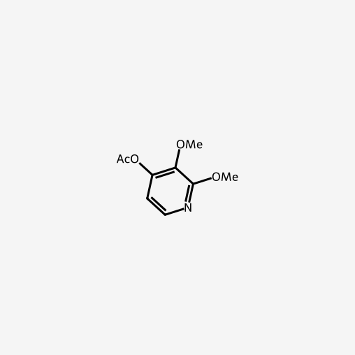 COc1nccc(OC(C)=O)c1OC